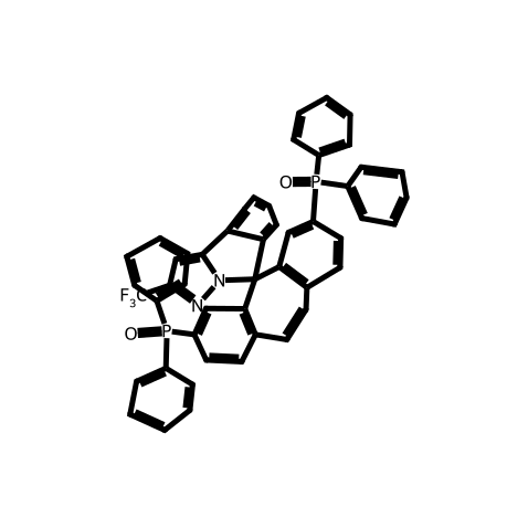 O=P(c1ccccc1)(c1ccccc1)c1ccc2c(c1)C1(c3cc(P(=O)(c4ccccc4)c4ccccc4)ccc3C=C2)c2ccccc2-c2cc(C(F)(F)F)nn21